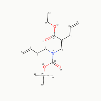 C=CCCN(CC(CC=C)C(=O)OCC)C(=O)OC(C)(C)C